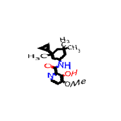 COc1ccnc(C(=O)NC2CC(C)(C)CC(C)(C3CC3)C2)c1O